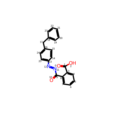 O=C(O)c1ccccc1C(=O)N=Nc1ccc(Cc2ccccc2)cc1